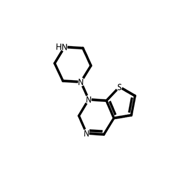 C1=NCN(N2CCNCC2)c2sccc21